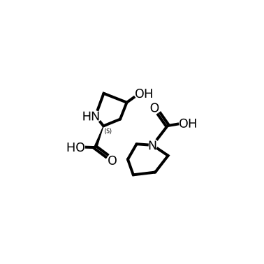 O=C(O)N1CCCCC1.O=C(O)[C@@H]1CC(O)CN1